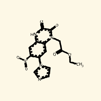 CCOC(=O)Cn1c(=O)c(=O)[nH]c2cc([N+](=O)[O-])c(-n3ccnc3)cc21